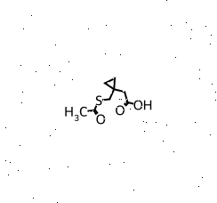 CC(=O)SCC1(CC(=O)O)CC1